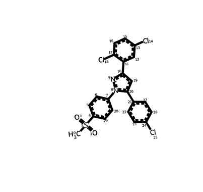 CS(=O)(=O)c1ccc(-n2nc(-c3cc(Cl)ccc3Cl)cc2-c2ccc(Cl)cc2)cc1